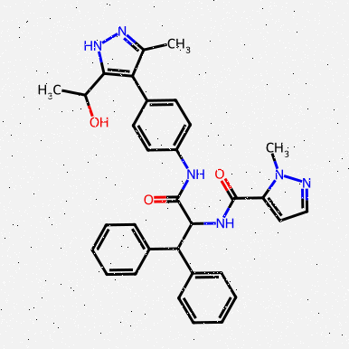 Cc1n[nH]c(C(C)O)c1-c1ccc(NC(=O)C(NC(=O)c2ccnn2C)C(c2ccccc2)c2ccccc2)cc1